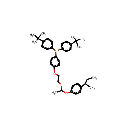 CCC(C)c1ccc(OC(C)OCCOc2ccc([S+](c3ccc(C(C)(C)C)cc3)c3ccc(C(C)(C)C)cc3)cc2)cc1